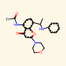 CCC(=O)Nc1ccc(C(C)Nc2ccccc2)c2oc(N3CCOCC3)cc(=O)c12